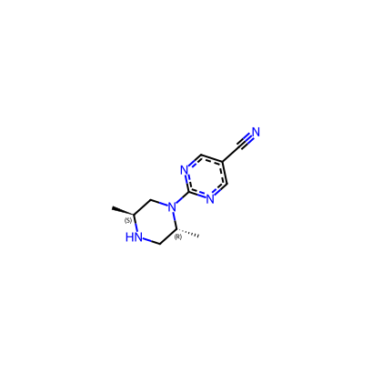 C[C@@H]1CN[C@@H](C)CN1c1ncc(C#N)cn1